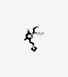 Cc1cc(=O)n([C@@H](CC(C)C)C(=O)O)nc1CCN1CCC1